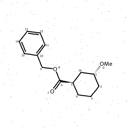 CO[C@@H]1CCC[C@@H](C(=O)OCc2ccccc2)C1